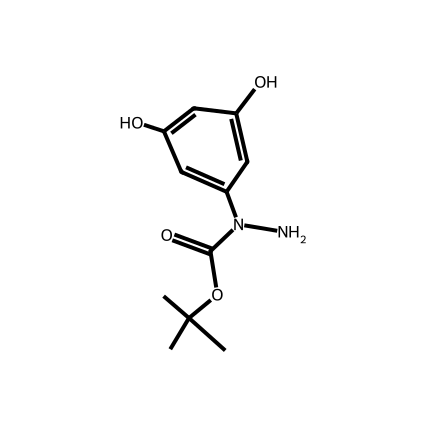 CC(C)(C)OC(=O)N(N)c1cc(O)cc(O)c1